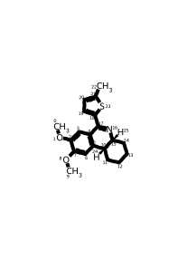 COc1cc2c(cc1OC)[C@H]1CCCC[C@H]1N=C2c1ccc(C)s1